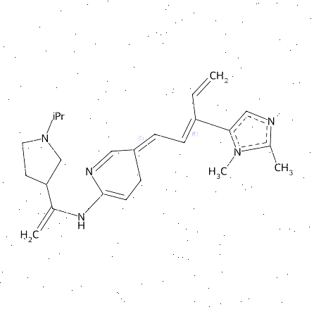 C=C/C(=C\C=C1\C=NC(NC(=C)C2CCN(C(C)C)C2)=CC1)c1cnc(C)n1C